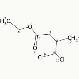 [CH2]C(CC(=O)OCC)C(Cl)Cl